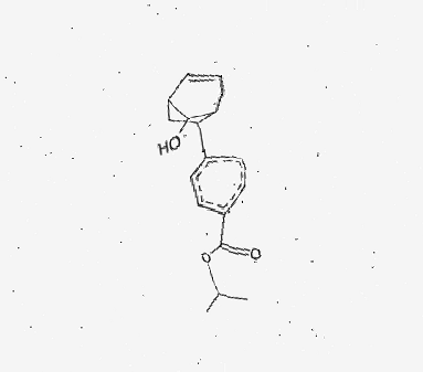 CC(C)OC(=O)c1ccc(C2CC3C=CC2C3O)cc1